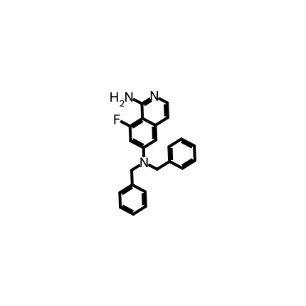 Nc1nccc2cc(N(Cc3ccccc3)Cc3ccccc3)cc(F)c12